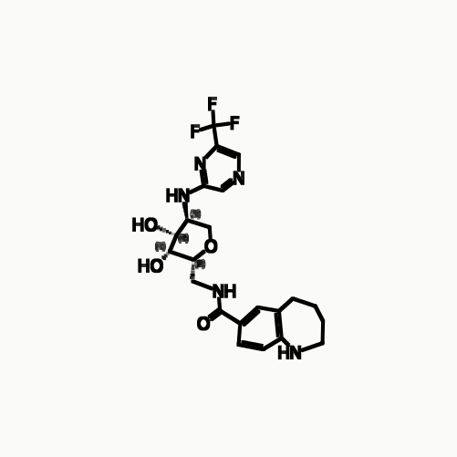 O=C(NC[C@H]1OC[C@H](Nc2cncc(C(F)(F)F)n2)[C@@H](O)[C@H]1O)c1ccc2c(c1)CCCCN2